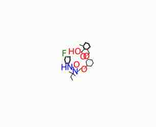 CCC(C)(C)N(CCOC1CCCC(OCc2cccc(C)c2C(=O)O)C1)C(=O)Nc1ccc(F)cc1